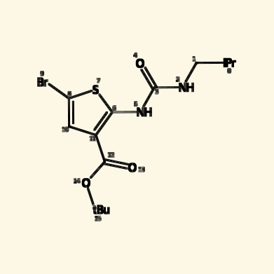 CC(C)CNC(=O)Nc1sc(Br)cc1C(=O)OC(C)(C)C